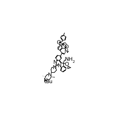 Cc1ccc(S(=O)(=O)n2ccc3c(-c4ccc5nc(N6CCC(N7C[C@@H](C)N(C(C)(C)C)C[C@@H]7C)CC6)nc(C(CN)(OC6CC6)c6ccccc6)c5c4)cn(C)c(=O)c32)cc1